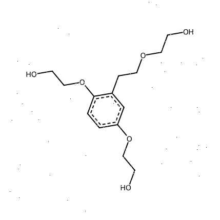 OCCOCCc1cc(OCCO)ccc1OCCO